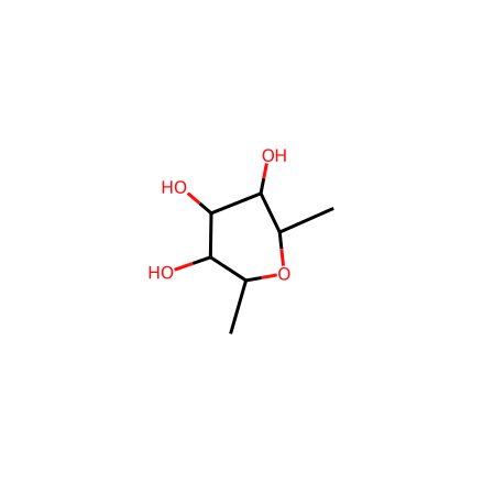 CC1OC(C)C(O)C(O)C1O